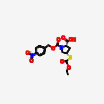 CCOC(=O)S[C@H]1C[C@@H](C(=O)O)N(C(=O)OCc2ccc([N+](=O)[O-])cc2)C1